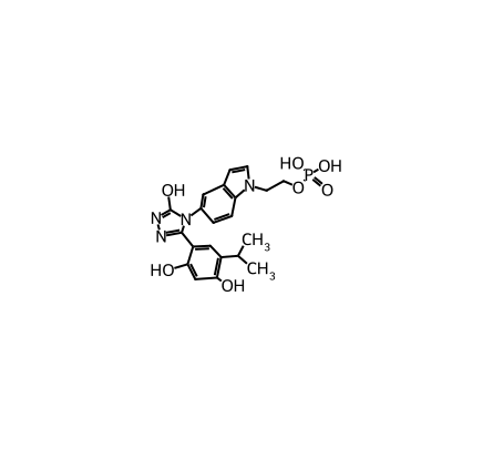 CC(C)c1cc(-c2nnc(O)n2-c2ccc3c(ccn3CCOP(=O)(O)O)c2)c(O)cc1O